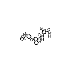 CNC(=O)c1cc(NC(=O)N[C@H]2CC[C@@H](Oc3ccc4nnc(C5(C)CCCN5C)n4c3)c3ccccc32)cc(C(C)(C)C)n1